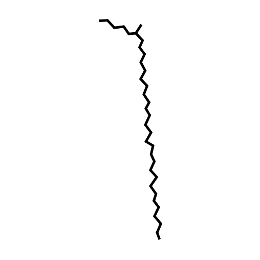 CCCCCCCCCCCCCCCCCCCCCCCCCCCC(C)CCCCC